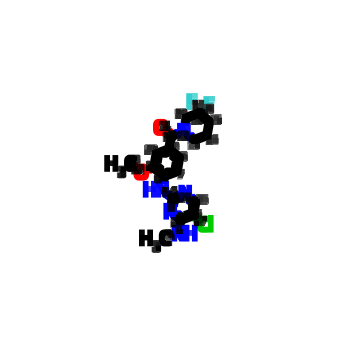 CNc1nc(Nc2ccc(C(=O)N3CCCC(F)(F)C3)cc2OC)ncc1Cl